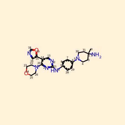 CC1(N)CCN(c2ccc(Nc3ncc(-c4cnco4)c(N4CCOCC4)n3)cc2)CC1